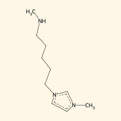 CNCCCCC[n+]1ccn(C)c1